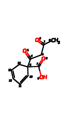 CC(=O)CC(=O)C1(C(=O)O)C=CC=CC1